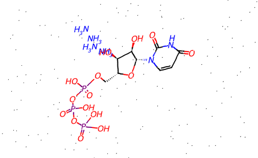 N.N.N.N.O=c1ccn([C@@H]2O[C@H](COP(=O)(O)OP(=O)(O)OP(=O)(O)O)[C@@H](O)[C@H]2O)c(=O)[nH]1